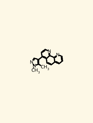 Cc1c(-c2ccnc3c2ccc2cccnc23)cnn1C